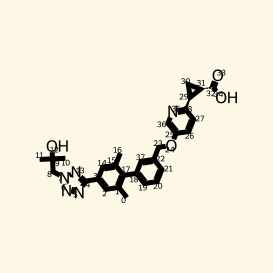 Cc1cc(-c2nnn(CC(C)(C)O)n2)cc(C)c1-c1cccc(COc2ccc([C@H]3C[C@@H]3C(=O)O)nc2)c1